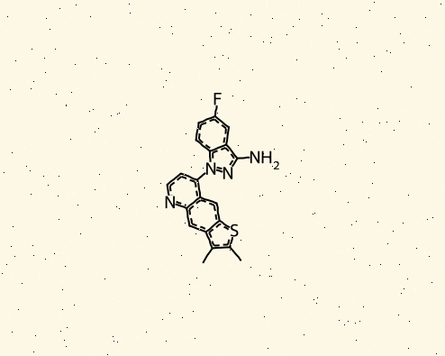 Cc1sc2cc3c(-n4nc(N)c5cc(F)ccc54)ccnc3cc2c1C